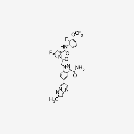 Cc1cc2ncc(-c3ccc4c(c3)c(C(N)=O)nn4CC(=O)N3C[C@H](F)C[C@H]3C(=O)Nc3cccc(OC(F)(F)F)c3F)cn2n1